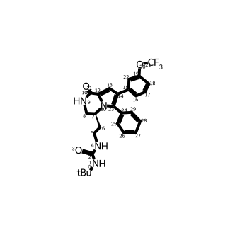 CC(C)(C)NC(=O)NCC[C@H]1CNC(=O)c2cc(-c3cccc(OC(F)(F)F)c3)c(-c3ccccc3)n21